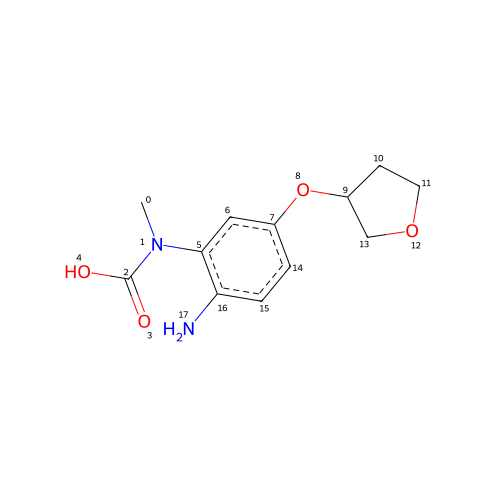 CN(C(=O)O)c1cc(OC2CCOC2)ccc1N